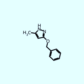 Cc1cc(OCc2ccccc2)n[nH]1